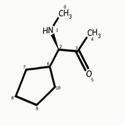 CN[C@@H](C(C)=O)C1CCCC1